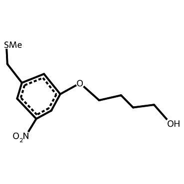 CSCc1cc(OCCCCO)cc([N+](=O)[O-])c1